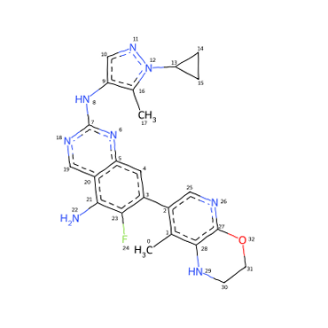 Cc1c(-c2cc3nc(Nc4cnn(C5CC5)c4C)ncc3c(N)c2F)cnc2c1NCCO2